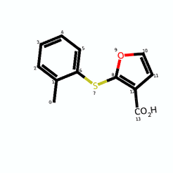 Cc1ccccc1Sc1occc1C(=O)O